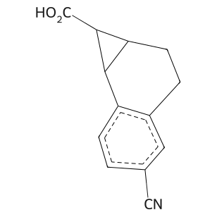 N#Cc1ccc2c(c1)CCC1C(C(=O)O)C21